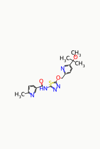 COC(C)(C)c1ccc(COc2nnc(NC(=O)c3ccc(C)nc3)s2)nc1